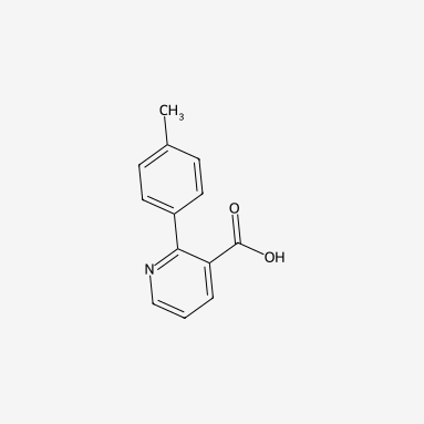 Cc1ccc(-c2ncccc2C(=O)O)cc1